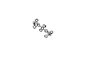 O=c1c2ccccc2c2cc(-c3c4ccccc4c(-c4ccc(-n5c(-c6ccccc6)nc6ccccc65)cc4)c4ccccc34)ccc2n1-c1ccccc1